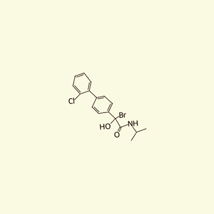 CC(C)NC(=O)C(O)(Br)c1ccc(-c2ccccc2Cl)cc1